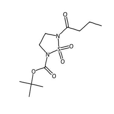 CCCC(=O)N1CCN(C(=O)OC(C)(C)C)S1(=O)=O